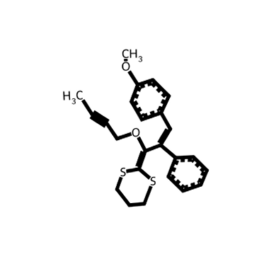 CC#CCOC(C(=Cc1ccc(OC)cc1)c1ccccc1)=C1SCCCS1